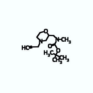 C#CCN1CCOC(CN(C)C(=O)OC(C)(C)C)C1